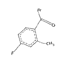 Cc1cc(F)ccc1C(=O)C(C)C